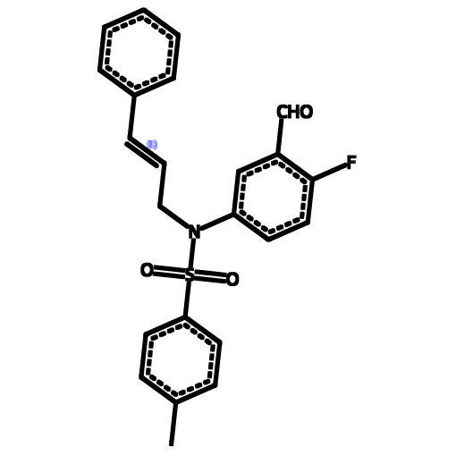 Cc1ccc(S(=O)(=O)N(C/C=C/c2ccccc2)c2ccc(F)c(C=O)c2)cc1